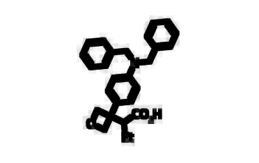 CCC(C(=O)O)C1(c2ccc(N(Cc3ccccc3)Cc3ccccc3)cc2)COC1